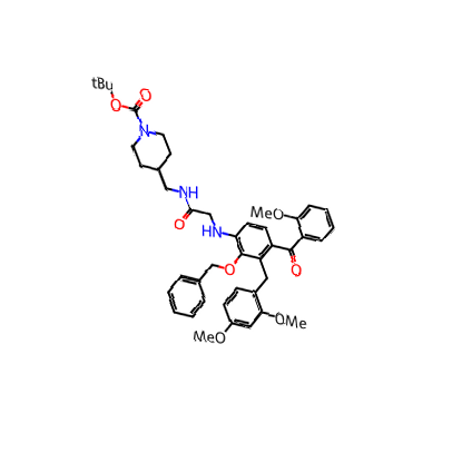 COc1ccc(Cc2c(C(=O)c3ccccc3OC)ccc(NCC(=O)NCC3CCN(C(=O)OC(C)(C)C)CC3)c2OCc2ccccc2)c(OC)c1